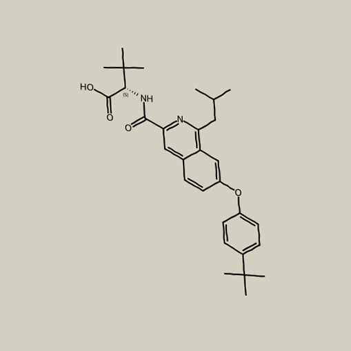 CC(C)Cc1nc(C(=O)N[C@H](C(=O)O)C(C)(C)C)cc2ccc(Oc3ccc(C(C)(C)C)cc3)cc12